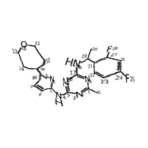 Cc1nc(Nc2ccn(C3CCOCC3)n2)nc(NC(C)c2ccc(F)cc2F)n1